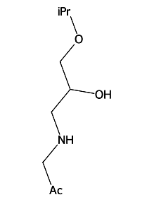 CC(=O)CNCC(O)COC(C)C